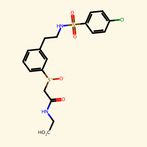 O=C(O)CNC(=O)C[S+]([O-])c1cccc(CCNS(=O)(=O)c2ccc(Cl)cc2)c1